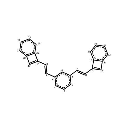 C(=Cc1cccc(C=CC2=Cc3ccccc32)c1)C1=Cc2ccccc21